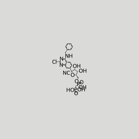 N#C[C@@]1(c2ccc3c(NCc4ccccc4)nc(Cl)nc3c2)O[C@H](COP(=O)(O)CP(=O)(O)O)[C@@H](O)[C@H]1O